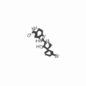 NC(=O)c1ccc2nc(C3=NCC(c4cccc(Br)c4)=C3O)[nH]c2c1